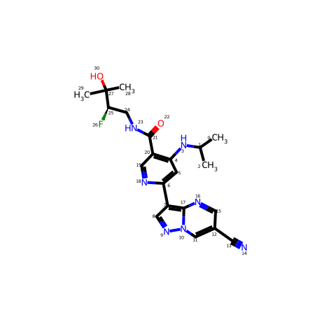 CC(C)Nc1cc(-c2cnn3cc(C#N)cnc23)ncc1C(=O)NC[C@@H](F)C(C)(C)O